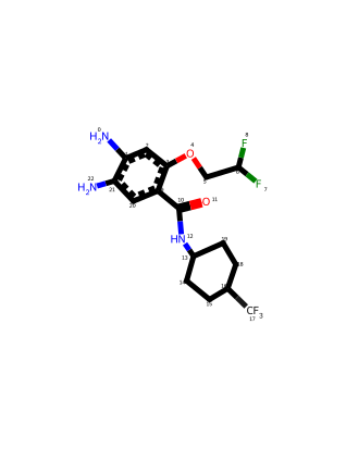 Nc1cc(OCC(F)F)c(C(=O)NC2CCC(C(F)(F)F)CC2)cc1N